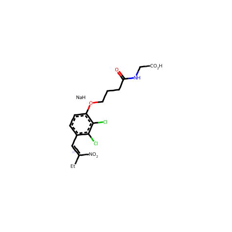 CC/C(=C/c1ccc(OCCCC(=O)NCC(=O)O)c(Cl)c1Cl)[N+](=O)[O-].[NaH]